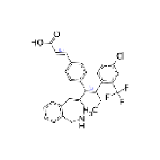 CC/C(=C(\C1=Cc2ccccc2CNC1)c1ccc(/C=C/C(=O)O)cc1)c1ccc(Cl)cc1C(F)(F)F